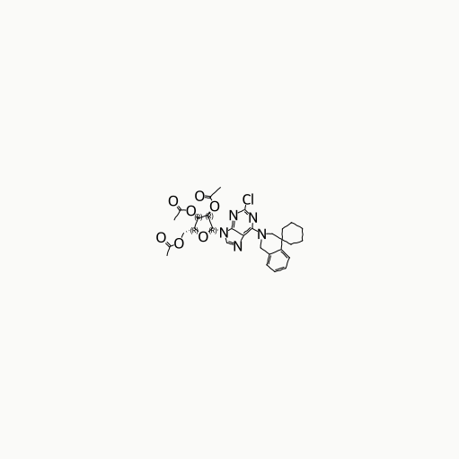 CC(=O)OC[C@H]1O[C@@H](n2cnc3c(N4Cc5ccccc5C5(CCCCC5)C4)nc(Cl)nc32)[C@H](OC(C)=O)[C@@H]1OC(C)=O